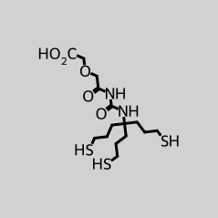 O=C(O)COCC(=O)NC(=O)NC(CCCS)(CCCS)CCCS